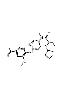 CC[C@@H]1C(=O)N(C)c2cnc(Nc3ncc(C(C)=O)cc3OC)cc2N1C1CCCC1